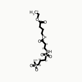 CCOC(=O)CCCOC(=O)CCNS(=O)(=O)CCCS(=O)(=O)I